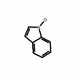 [O]n1ccc2ccccc21